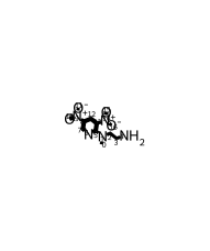 CN(CCN)c1ncc([N+](=O)[O-])cc1[N+](=O)[O-]